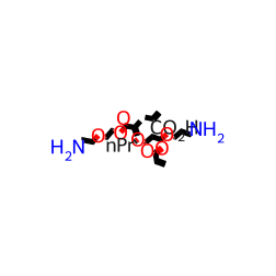 C=C(C)C(=O)O.C=C(C)C(=O)OCCOCCN.C=CC(=O)OC(CCOCCCN)OCCC